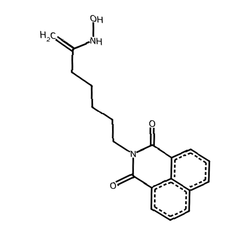 C=C(CCCCCN1C(=O)c2cccc3cccc(c23)C1=O)NO